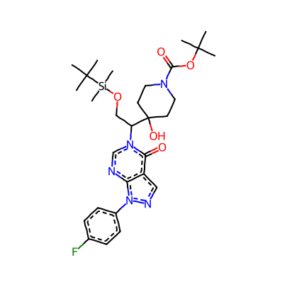 CC(C)(C)OC(=O)N1CCC(O)(C(CO[Si](C)(C)C(C)(C)C)n2cnc3c(cnn3-c3ccc(F)cc3)c2=O)CC1